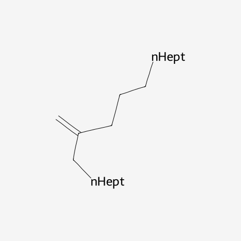 C=C(CCCCCCCC)CCCCCCCCCC